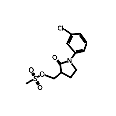 CS(=O)(=O)OCC1CCN(c2cccc(Cl)c2)C1=O